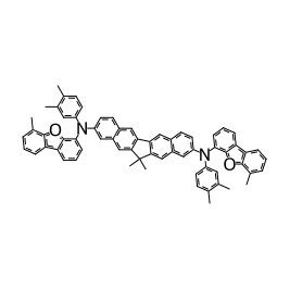 Cc1ccc(N(c2ccc3cc4c(cc3c2)C(C)(C)c2cc3cc(N(c5ccc(C)c(C)c5)c5cccc6c5oc5c(C)cccc56)ccc3cc2-4)c2cccc3c2oc2c(C)cccc23)cc1C